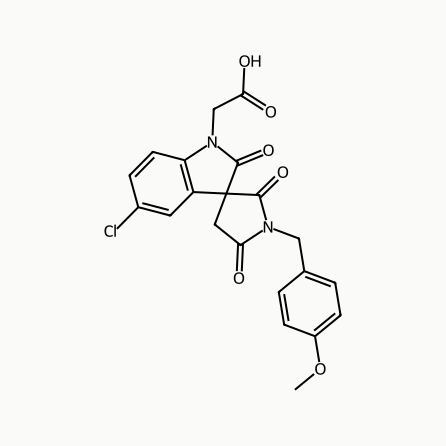 COc1ccc(CN2C(=O)CC3(C2=O)C(=O)N(CC(=O)O)c2ccc(Cl)cc23)cc1